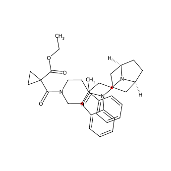 CCOC(=O)C1(C(=O)N2CCC(CCN3[C@@H]4CC[C@H]3CC(n3c(C)nc5ccccc53)C4)(c3ccccc3)CC2)CC1